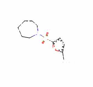 O=C(O)c1ccc(S(=O)(=O)N2CCCCCC2)o1